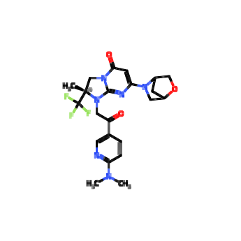 CN(C)c1ccc(C(=O)CN2c3nc(N4CC5CC4CO5)cc(=O)n3C[C@@]2(C)C(F)(F)F)cn1